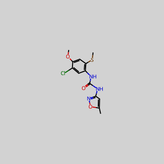 COc1cc(SC)c(NC(=O)Nc2cc(C)on2)cc1Cl